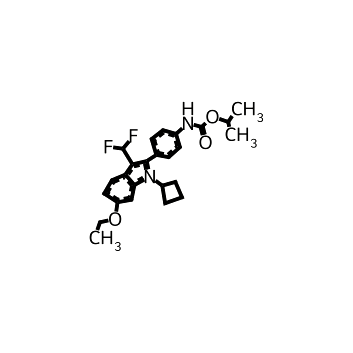 CCOc1ccc2c(C(F)F)c(-c3ccc(NC(=O)OC(C)C)cc3)n(C3CCC3)c2c1